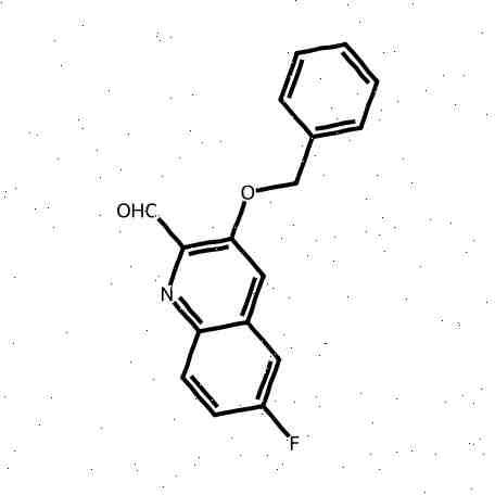 O=Cc1nc2ccc(F)cc2cc1OCc1ccccc1